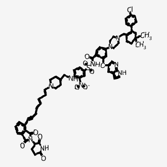 CC1(C)CCC(CN2CCN(c3ccc(C(=O)NS(=O)(=O)c4ccc(NCC5CCN(CCCCCCC#Cc6cccc7c6C(=O)N(C6CCC(=O)NC6=O)C7=O)CC5)c([N+](=O)[O-])c4)c(Oc4cnc5[nH]ccc5c4)c3)CC2)=C(c2ccc(Cl)cc2)C1